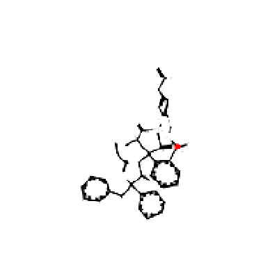 CCC(=O)OC(Cc1ccccc1)(c1ccccc1)C(C)CC1(c2ccccc2C(N)NOCCCC=O)C(=O)N(OC=O)C(=O)C1C